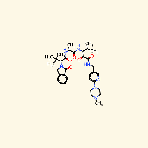 CC(C)[C@H](NC(=O)[C@H](C)NC(=O)[C@@H](N1Cc2ccccc2C1=O)C(C)(C)C)C(=O)C(=O)NCc1ccc(N2CCN(C)CC2)nc1